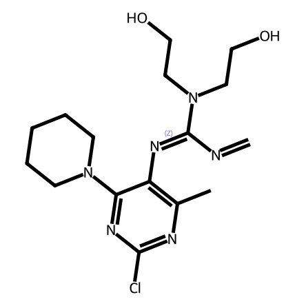 C=N/C(=N\c1c(C)nc(Cl)nc1N1CCCCC1)N(CCO)CCO